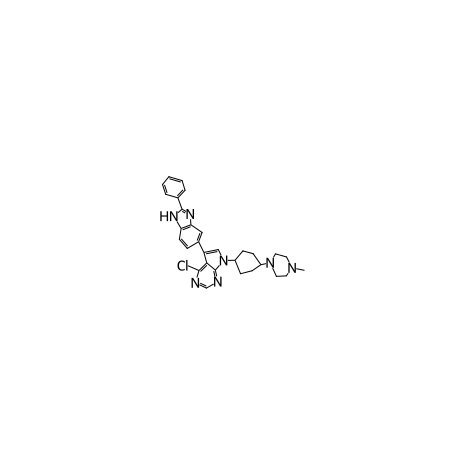 CN1CCN(C2CCC(n3cc(-c4ccc5[nH]c(-c6ccccc6)nc5c4)c4c(Cl)ncnc43)CC2)CC1